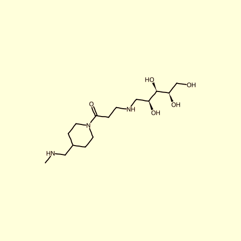 CNCC1CCN(C(=O)CCNC[C@H](O)[C@@H](O)[C@H](O)CO)CC1